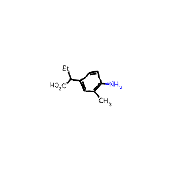 CCC(C(=O)O)c1ccc(N)c(C)c1